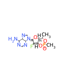 CC1OP(C)(=O)O[C@H]2[C@@H](F)[C@H](N3C=NC4C(N)=NC=NC43)O[C@H]12